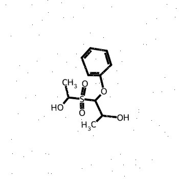 CC(O)C(Oc1ccccc1)S(=O)(=O)C(C)O